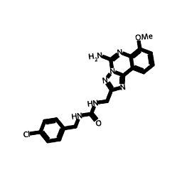 COc1cccc2c1nc(N)n1nc(CNC(=O)NCc3ccc(Cl)cc3)nc21